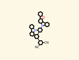 N#Cc1cc(C#N)cc(-c2cccc(-c3ccc(-n4c5ccccc5c5c6oc7ccccc7c6ccc54)cc3-n3c4ccccc4c4ccccc43)c2)c1